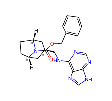 O=C(OCc1ccccc1)N1[C@@H]2CC[C@H]1C[C@H](CNc1ncnc3[nH]cnc13)C2